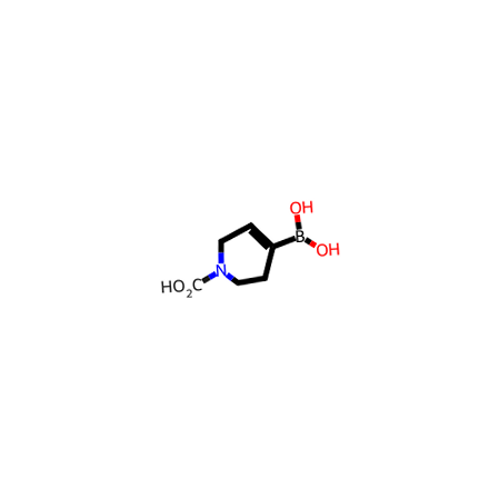 O=C(O)N1CC=C(B(O)O)CC1